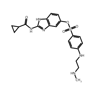 CNCCNc1ccc(S(=O)(=O)Oc2ccc3[nH]c(NC(=O)C4CC4)nc3c2)cc1